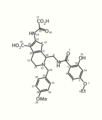 CCOc1ccc(C(=O)NCC2c3sc(NC(=O)C(=O)O)c(C(=O)O)c3CCN2Cc2ccc(OC)cc2)c(O)c1